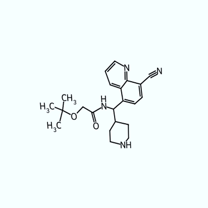 CC(C)(C)OCC(=O)NC(c1ccc(C#N)c2ncccc12)C1CCNCC1